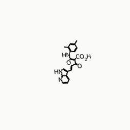 Cc1ccc(NC2=C(C(=O)O)C(=O)/C(=C/c3c[nH]c4ncccc34)O2)c(C)c1